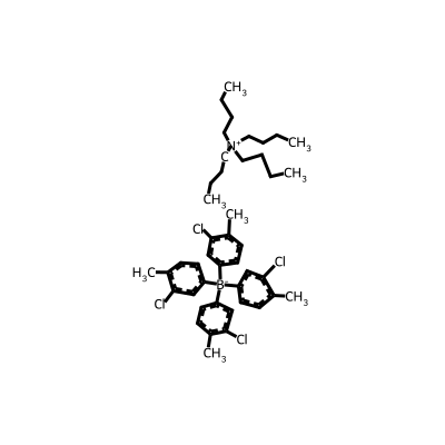 CCCC[N+](CCCC)(CCCC)CCCC.Cc1ccc([B-](c2ccc(C)c(Cl)c2)(c2ccc(C)c(Cl)c2)c2ccc(C)c(Cl)c2)cc1Cl